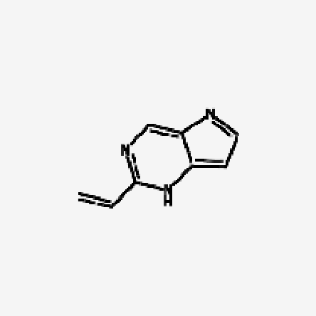 C=Cc1ncc2nccc-2[nH]1